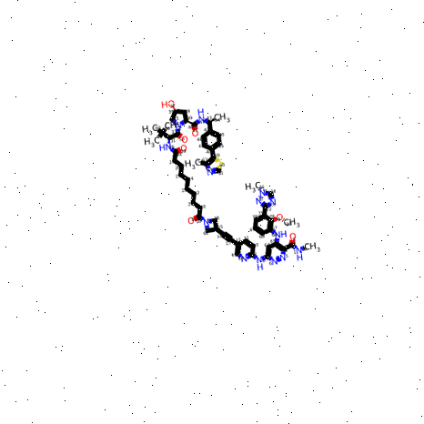 CNC(=O)c1nnc(Nc2ccc(C#CC3CN(C(=O)CCCCCCCCC(=O)N[C@H](C(=O)N4C[C@H](O)C[C@H]4C(=O)N[C@@H](C)c4ccc(-c5scnc5C)cc4)C(C)(C)C)C3)cn2)cc1Nc1cccc(-c2ncn(C)n2)c1OC